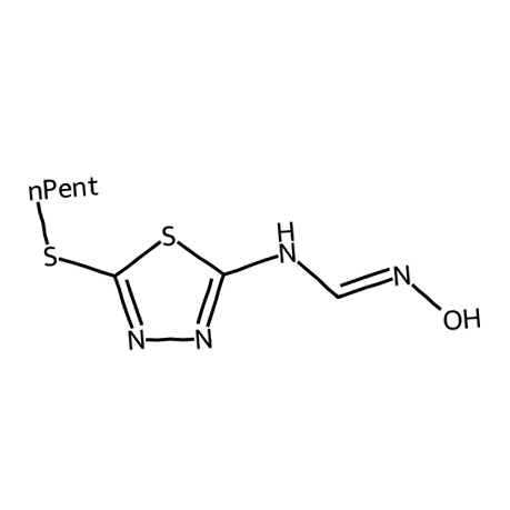 CCCCCSc1nnc(N/C=N/O)s1